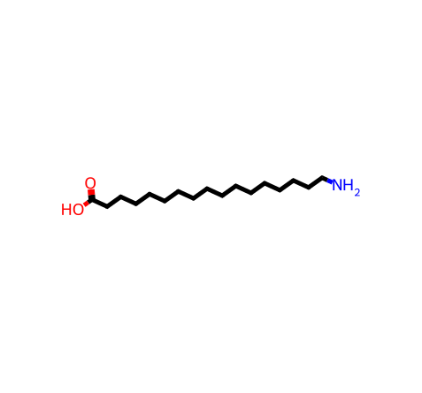 NCCCCCCCCCCCCCCCCC(=O)O